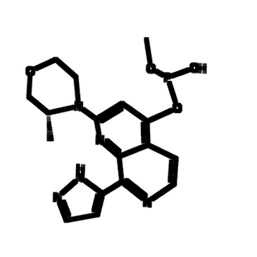 COP(O)Oc1cc(N2CCOC[C@H]2C)nc2c(-c3ccn[nH]3)nccc12